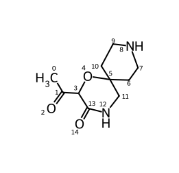 CC(=O)C1OC2(CCNCC2)CNC1=O